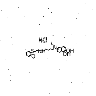 CCCN(CCCCCCNCCSc1ccccc1OC)[C@H]1CCc2c(ccc(O)c2O)C1.Cl.Cl